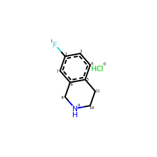 Cl.Fc1ccc2c(c1)CNCC2